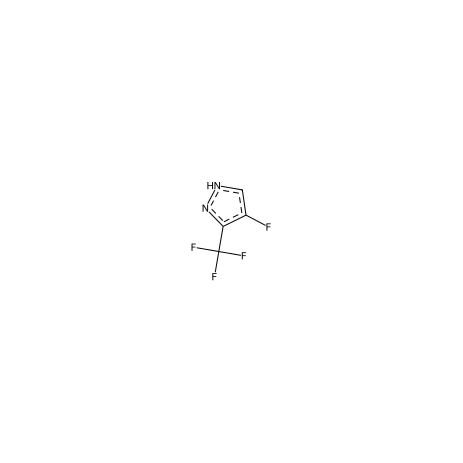 Fc1c[nH]nc1C(F)(F)F